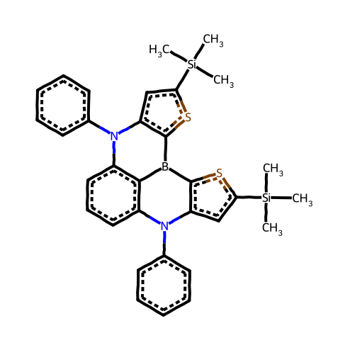 C[Si](C)(C)c1cc2c(s1)B1c3sc([Si](C)(C)C)cc3N(c3ccccc3)c3cccc(c31)N2c1ccccc1